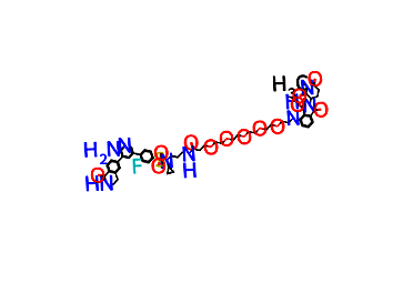 CN1C(=O)CCC(N2C(=O)c3cccc(NCCOCCOCCOCCOCCOCCC(=O)NCCCN(C4CC4)S(=O)(=O)c4ccc(-c5cnc(N)c(-c6ccc7c(c6)CCNC7=O)c5)c(F)c4)c3C2=O)C1=O